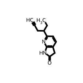 C#CCC(CC)c1ccc2c(n1)NC(=O)C2